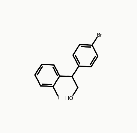 OCC(c1ccc(Br)cc1)c1ccccc1I